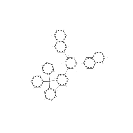 c1ccc(C2(c3ccccc3)c3ccccc3-c3ccc(-c4nc(-c5ccc6ccccc6c5)nc(-c5ccc6ccccc6c5)n4)cc32)cc1